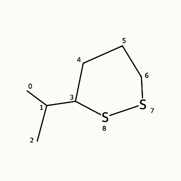 CC(C)C1CCCSS1